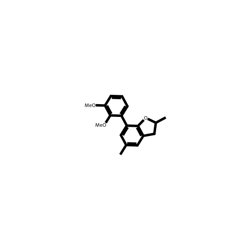 COc1cccc(-c2cc(C)cc3c2OC(C)C3)c1OC